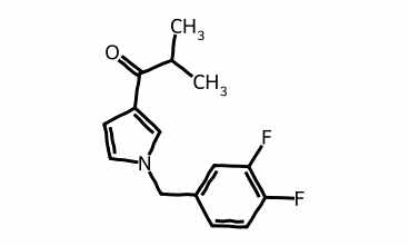 CC(C)C(=O)c1ccn(Cc2ccc(F)c(F)c2)c1